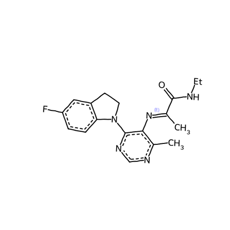 CCNC(=O)/C(C)=N/c1c(C)ncnc1N1CCc2cc(F)ccc21